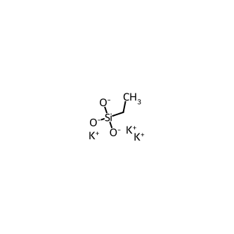 CC[Si]([O-])([O-])[O-].[K+].[K+].[K+]